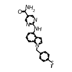 CSc1ccc(Cn2ccc3c(Nc4ncc(C(N)=O)cn4)cccc32)cc1